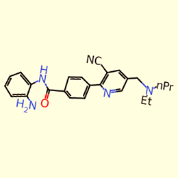 CCCN(CC)Cc1cnc(-c2ccc(C(=O)Nc3ccccc3N)cc2)c(C#N)c1